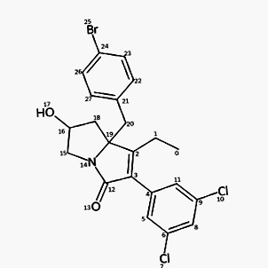 CCC1=C(c2cc(Cl)cc(Cl)c2)C(=O)N2CC(O)CC12Cc1ccc(Br)cc1